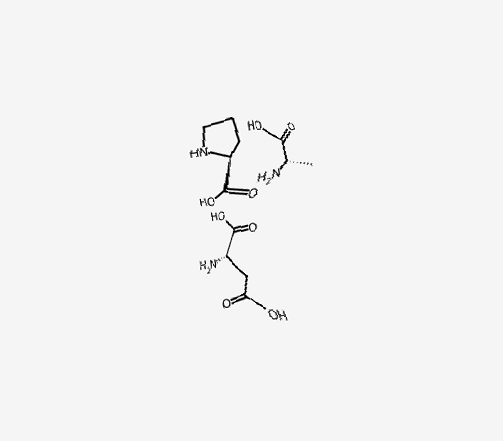 C[C@H](N)C(=O)O.N[C@@H](CC(=O)O)C(=O)O.O=C(O)[C@@H]1CCCN1